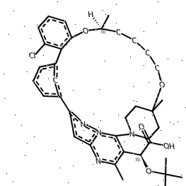 Cc1nc2cc3nn2c(c1[C@H](OC(C)(C)C)C(=O)O)N1CCC(C)(CC1)OCCCC[C@H](C)Oc1cccc(Cl)c1-c1cccc-3c1